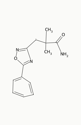 CC(C)([CH]c1noc(-c2ccccc2)n1)C(N)=O